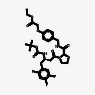 CCOC(=O)COc1ccc(CNC(=O)C2SCCN2C(=O)C[C@@H](Cc2cc(F)c(F)cc2F)NC(=O)OC(C)(C)C)cc1